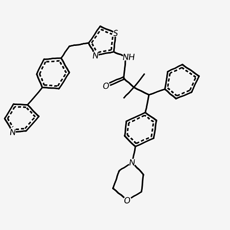 CC(C)(C(=O)Nc1nc(Cc2ccc(-c3ccncc3)cc2)cs1)C(c1ccccc1)c1ccc(N2CCOCC2)cc1